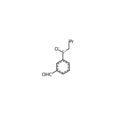 CC(C)C[S+]([O-])c1cccc(C=O)c1